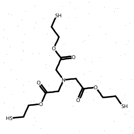 O=C(CN(CC(=O)OCCS)CC(=O)OCCS)OCCS